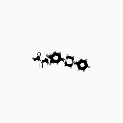 CC(=O)Nc1nc2[c]c(N3CCN(c4ccccc4)CC3)ccc2s1